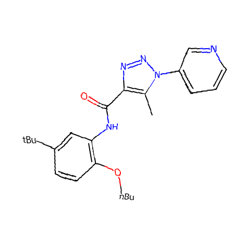 CCCCOc1ccc(C(C)(C)C)cc1NC(=O)c1nnn(-c2cccnc2)c1C